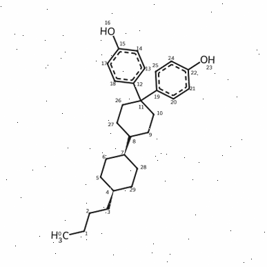 CCCC[C@H]1CC[C@@H](C2CCC(c3ccc(O)cc3)(c3ccc(O)cc3)CC2)CC1